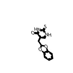 O=c1[nH]c(=S)[nH]cc1CC1Oc2ccccc2O1